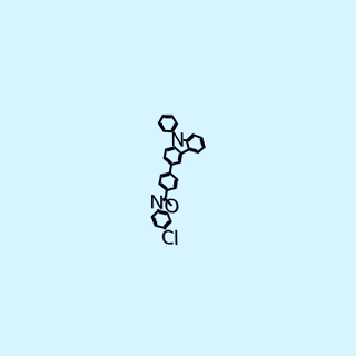 Clc1ccc2nc(-c3ccc(-c4ccc5c(c4)c4ccccc4n5-c4ccccc4)cc3)oc2c1